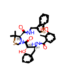 Cc1c(O)cccc1C(=O)N[C@@H](Cc1ccccc1)[C@H](O)C(=O)N1CSC(C)(C)[C@H]1C(=O)NCc1csc2ccccc12